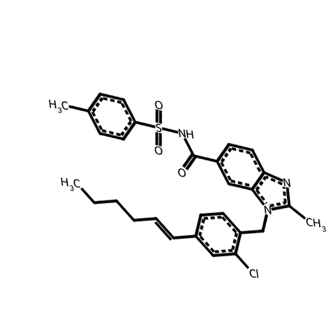 CCCCC=Cc1ccc(Cn2c(C)nc3ccc(C(=O)NS(=O)(=O)c4ccc(C)cc4)cc32)c(Cl)c1